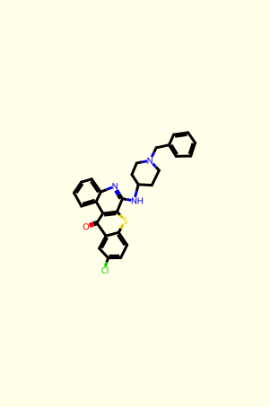 O=c1c2cc(Cl)ccc2sc2c(NC3CCN(Cc4ccccc4)CC3)nc3ccccc3c12